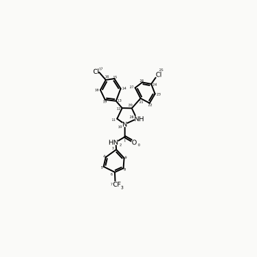 O=C(Nc1ccc(C(F)(F)F)cc1)N1CC(c2ccc(Cl)cc2)C(c2ccc(Cl)cc2)N1